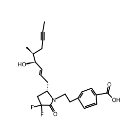 CC#CC[C@H](C)[C@H](O)/C=C/C[C@H]1CC(F)(F)C(=O)N1CCc1ccc(C(=O)O)cc1